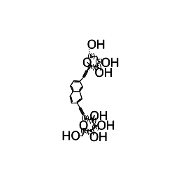 OC[C@@H]1C[C@H](O)[C@H](O)[C@@H](C#Cc2ccc3ccc(C#C[C@H]4O[C@H](CO)[C@@H](O)[C@H](O)[C@@H]4O)cc3c2)O1